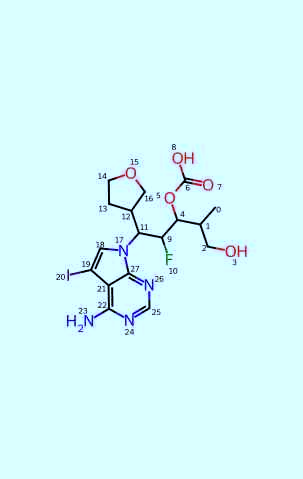 CC(CO)C(OC(=O)O)C(F)C(C1CCOC1)n1cc(I)c2c(N)ncnc21